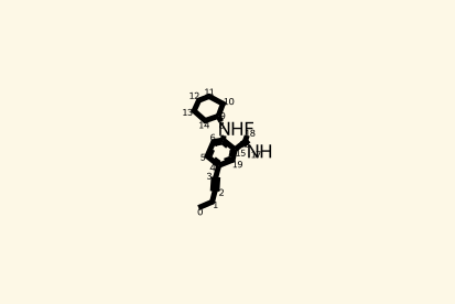 CCC#Cc1ccc(NC2CCCCC2)c(C(=N)F)c1